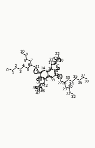 CCCCCCC(CCCC)COc1cc2c3c[c]([Sn]([CH3])([CH3])[CH3])sc3c(OCC(CCCC)CCCCCC)cc2c2c[c]([Sn]([CH3])([CH3])[CH3])sc12